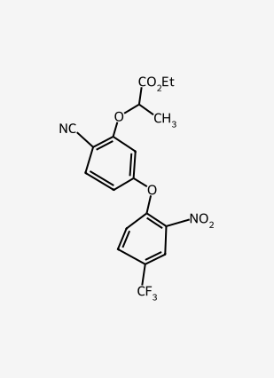 CCOC(=O)C(C)Oc1cc(Oc2ccc(C(F)(F)F)cc2[N+](=O)[O-])ccc1C#N